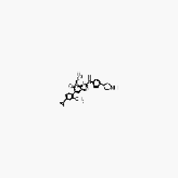 CCn1c(=O)c(-c2ccc(C3CC3)cc2C)cc2cnc(Nc3ccc(C4CCNCC4)cc3)nc21